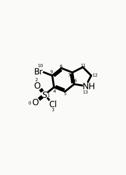 O=S(=O)(Cl)c1cc2c(cc1Br)CCN2